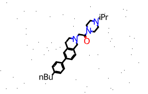 CCCCc1ccc(-c2ccc3c(c2)CCN(CC(=O)N2CCN(C(C)C)CC2)C3)cc1